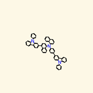 c1ccc(-n2c3ccccc3c3cc(-c4ccc(N(c5cccc6ccccc56)c5ccc(-c6ccc7c8ccccc8n(-c8ccccc8)c7c6)c6ccccc56)cc4)ccc32)cc1